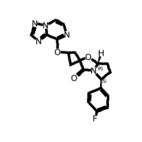 O=C1N2[C@@H](CC[C@H]2c2ccc(F)cc2)OC12CC(Oc1nccn3ncnc13)C2